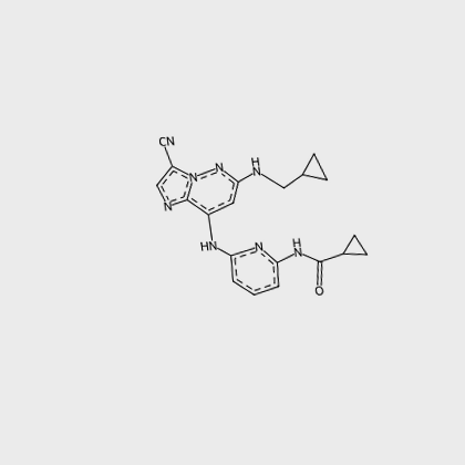 N#Cc1cnc2c(Nc3cccc(NC(=O)C4CC4)n3)cc(NCC3CC3)nn12